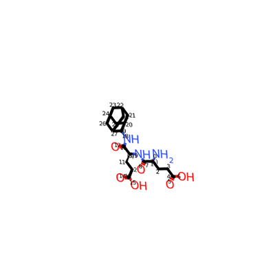 N[C@@H](CCC(=O)O)C(=O)N[C@@H](CCC(=O)O)C(=O)NC1C2CC3CC(C2)CC1C3